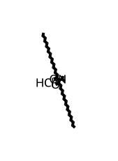 CCCCCCCCCCCCCCCCCC(=O)C(C(=O)CCCCCCCCCCCCCCCCC)N(C)C.Cl